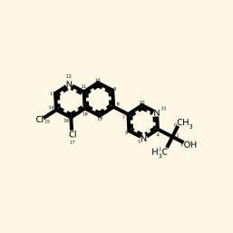 CC(C)(O)c1ncc(-c2ccc3ncc(Cl)c(Cl)c3c2)cn1